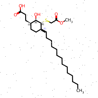 CCCCCCCCCCCCC/C=C1\CC[C@@H](CCC(=O)O)[C@@H](O)[C@@H]1SCC(=O)OC